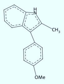 COc1ccc(-c2c(C)[nH]c3ccccc23)cc1